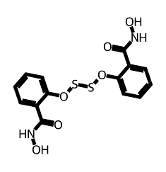 O=C(NO)c1ccccc1OSSOc1ccccc1C(=O)NO